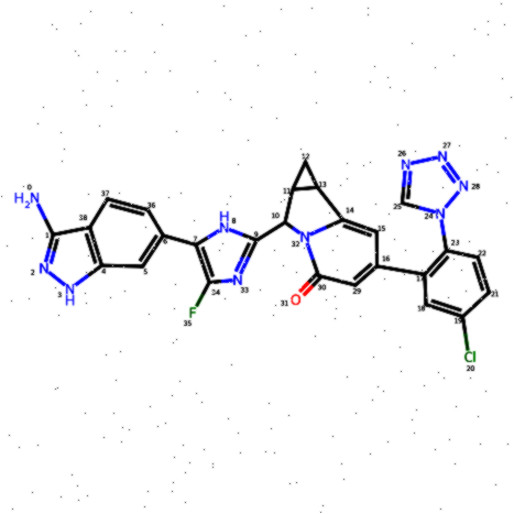 Nc1n[nH]c2cc(-c3[nH]c(C4C5CC5c5cc(-c6cc(Cl)ccc6-n6cnnn6)cc(=O)n54)nc3F)ccc12